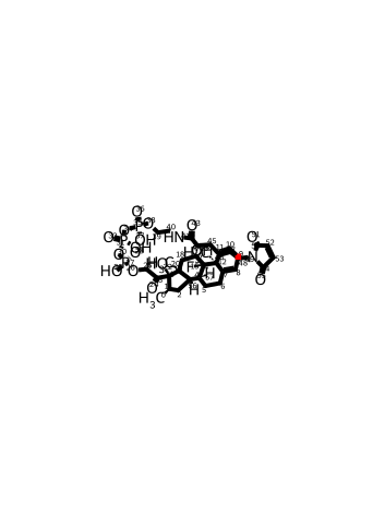 C[C@@H]1C[C@H]2[C@@H]3CCC4=CCC=C[C@]4(C)[C@@]3(F)[C@@H](O)C[C@]2(C)[C@@]1(O)C(=O)COP(=O)(O)OP(=O)(O)OP(=O)(O)OCCNC(=O)CCCCCN1C(=O)C=CC1=O